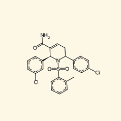 Cc1ccccc1S(=O)(=O)N1C(c2ccc(Cl)cc2)CC=C(C(N)=O)[C@@H]1c1cccc(Cl)c1